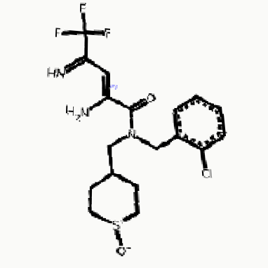 N=C(/C=C(\N)C(=O)N(Cc1ccccc1Cl)CC1CC[S+]([O-])CC1)C(F)(F)F